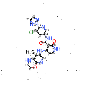 Cc1c(Nc2cc[nH]c(=O)c2C(=O)Nc2cnc(-n3nccn3)c(Cl)c2)cnc2c1NCCO2